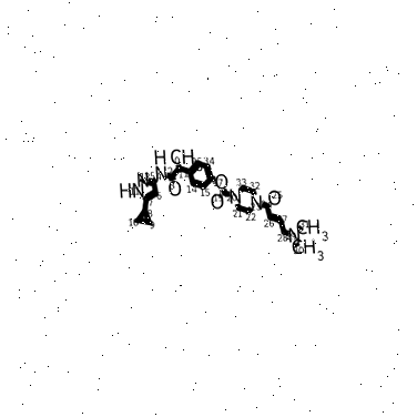 CC(C(=O)Nc1cc(C2CC2)[nH]n1)c1ccc(OC(=O)N2CCN(C(=O)C=CCN(C)C)CC2)cc1